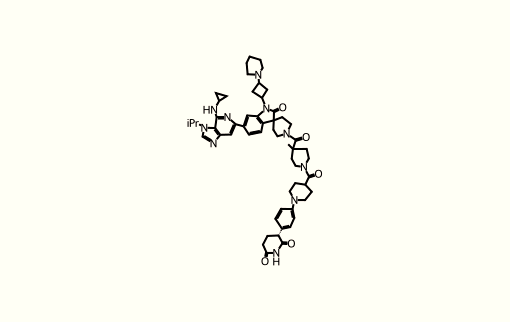 CC(C)n1cnc2cc(-c3ccc4c(c3)N(C3CC(N5CCCCC5)C3)C(=O)C43CCN(C(=O)C4(C)CCN(C(=O)C5CCN(c6ccc([C@H]7CCC(=O)NC7=O)cc6)CC5)CC4)CC3)nc(NC3CC3)c21